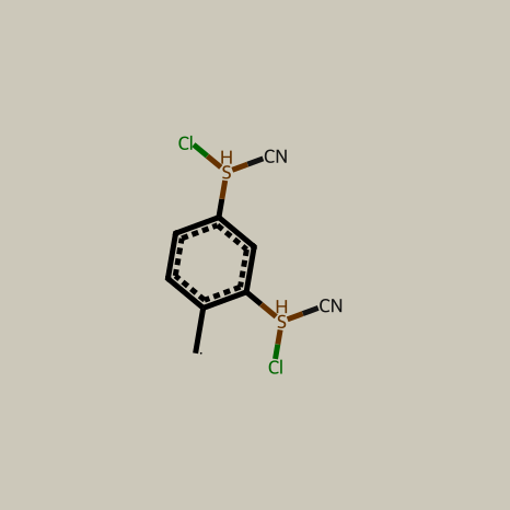 [CH2]c1ccc([SH](Cl)C#N)cc1[SH](Cl)C#N